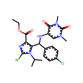 CCOC(=O)c1nc(Br)n(C(C)C)c1C(Nc1cn(C)c(=O)n(C)c1=O)c1ccc(Cl)cc1